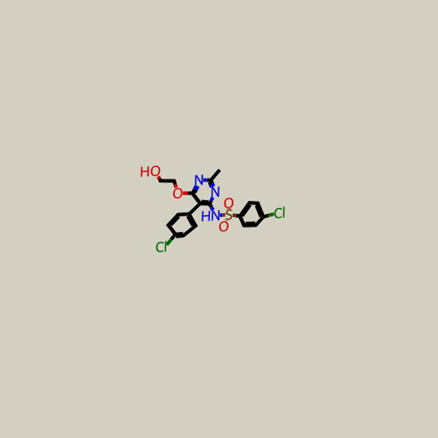 Cc1nc(NS(=O)(=O)c2ccc(Cl)cc2)c(-c2ccc(Cl)cc2)c(OCCO)n1